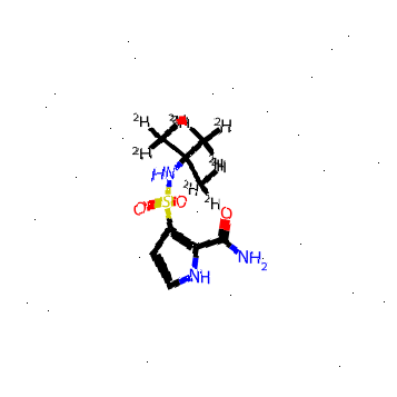 [2H]C([2H])([2H])C(NS(=O)(=O)c1cc[nH]c1C(N)=O)(C([2H])([2H])[2H])C([2H])([2H])[2H]